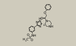 CS(=O)(=O)Nc1cccc(-c2n[nH]c([C@H]3CNCCN3C(=O)COc3ccccc3)n2)c1